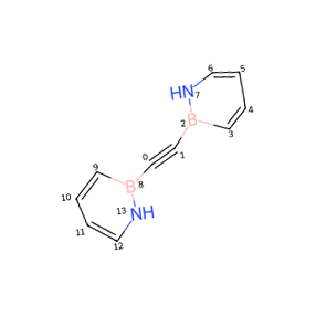 C(#CB1C=CC=CN1)B1C=CC=CN1